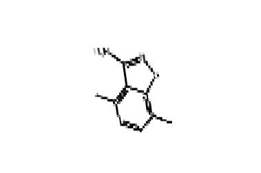 Cc1ccc(I)c2c(N)noc12